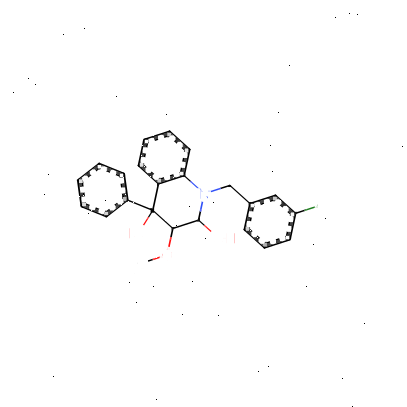 COC1C(O)N(Cc2cccc(Cl)c2)c2ccccc2C1(O)c1ccccc1